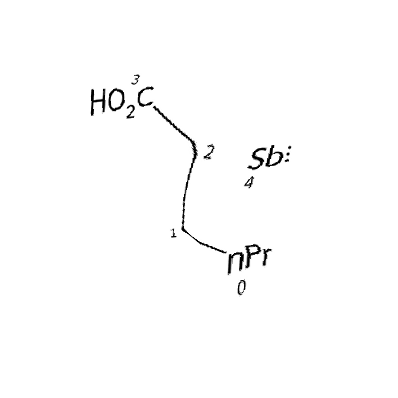 CCCCCC(=O)O.[Sb]